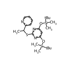 CC(Sc1nc(O[Si](C)(C)C(C)(C)C)cc(O[Si](C)(C)C(C)(C)C)n1)c1ccccn1